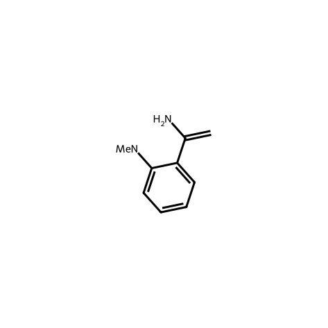 C=C(N)c1ccccc1NC